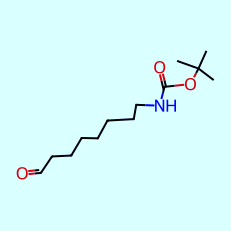 CC(C)(C)OC(=O)NCCCCCCCC=O